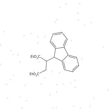 CCOC(=O)CC(C(=O)OCC)C1c2ccccc2-c2ccccc21